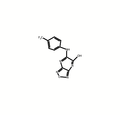 Oc1nc2nonc2nc1Nc1ccc(C(F)(F)F)cc1